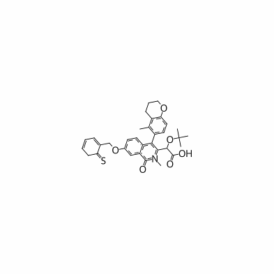 Cc1c(-c2c(C(OC(C)(C)C)C(=O)O)n(C)c(=O)c3cc(OCC4=CC=CCC4=S)ccc23)ccc2c1CCCO2